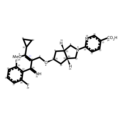 CO/C(=C(/CO[C@H]1C[C@@H]2CN(c3ccc(C(=O)O)cn3)C[C@@H]2C1)C(=N)c1c(F)cccc1F)C1CC1